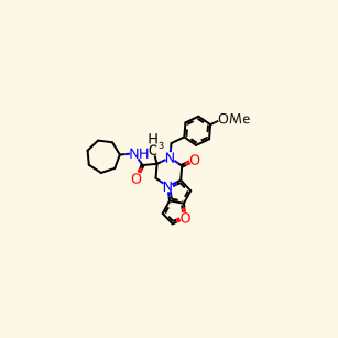 COc1ccc(CN2C(=O)c3cc4occc4n3CC2(C)C(=O)NC2CCCCCC2)cc1